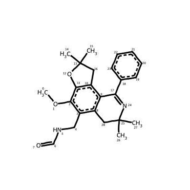 COc1c(CNC=O)c2c(c3c1OC(C)(C)C3)C(c1ccccc1)=NC(C)(C)C2